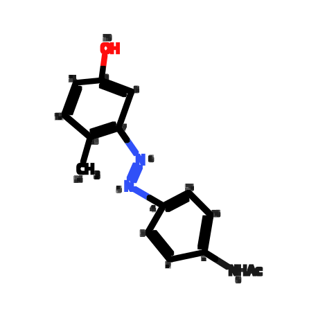 CC(=O)Nc1ccc(N=Nc2cc(O)ccc2C)cc1